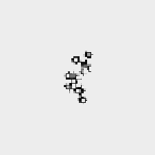 CC(C)(C)OC(=O)N(C(=O)c1c(OCOP(=O)(OCc2ccccc2)OCc2ccccc2)nn2ccccc12)c1c(F)c(F)c(-c2ccccc2)c(F)c1F